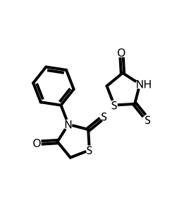 O=C1CSC(=S)N1.O=C1CSC(=S)N1c1ccccc1